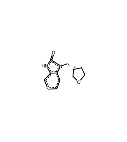 O=c1[nH]c2cnccc2n1C[C@@H]1CCOC1